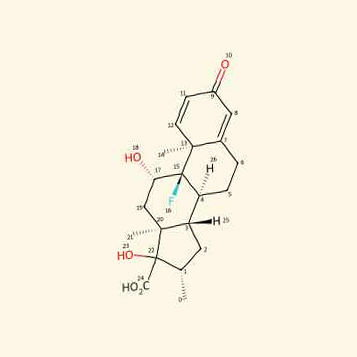 C[C@H]1C[C@H]2[C@@H]3CCC4=CC(=O)C=C[C@]4(C)[C@@]3(F)[C@@H](O)C[C@]2(C)C1(O)C(=O)O